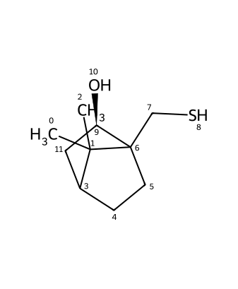 CC1(C)C2CCC1(CS)[C@H](O)C2